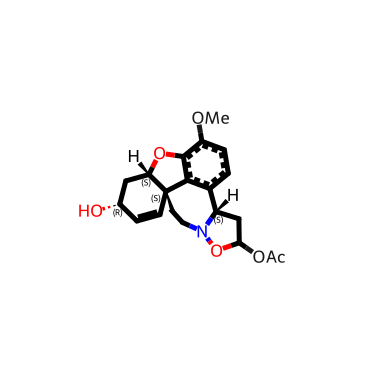 COc1ccc2c3c1O[C@H]1C[C@@H](O)C=C[C@@]31CCN1OC(OC(C)=O)C[C@@H]21